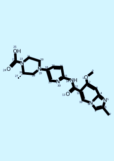 COc1cc2nc(C)cn2cc1C(=O)Nc1ccc(N2CCN(C(=O)O)[C@@H](C)C2)cn1